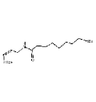 CCCCCC/C=C\CNC(=O)CCCCCCCC(C)(C)C